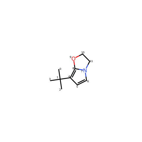 CC(C)(C)c1ccn2c1OCC2